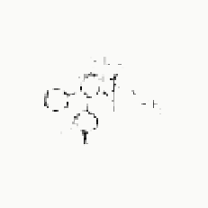 Cn1cc(-c2c(-c3ccccc3)nc(N)[n+]3c(=O)n(CCC(F)(F)F)[nH]c23)ccc1=O